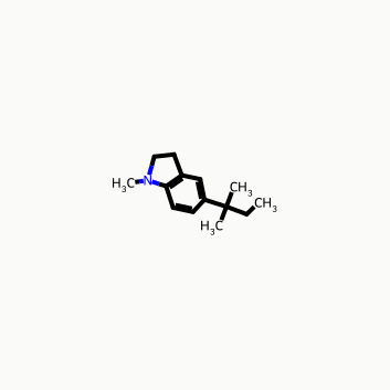 CCC(C)(C)c1ccc2c(c1)CCN2C